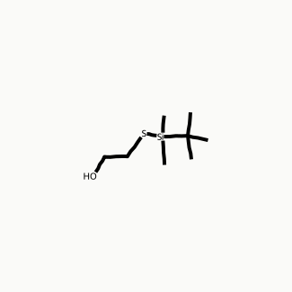 CC(C)(C)[Si](C)(C)SCCO